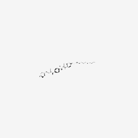 CCCCCCCCCC(=O)OCc1ccc(C(=O)NS(=O)(=O)c2ccc(C(=O)NCCc3ccc(F)cc3)cc2)cn1